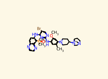 COc1cc(N2CCC(N3CCN4CCC3CC4)CC2)c(C)cc1Nc1ncc(Br)c(Nc2ccc3nccnc3c2P(C)(C)=O)n1